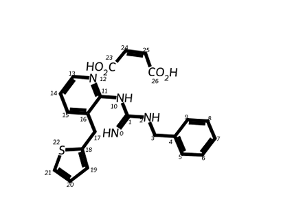 N=C(NCc1ccccc1)Nc1ncccc1Cc1cccs1.O=C(O)/C=C\C(=O)O